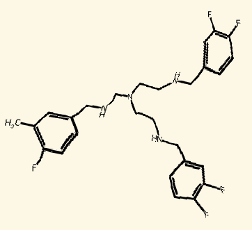 Cc1cc(CNCN(CCNCc2ccc(F)c(F)c2)CCNCc2ccc(F)c(F)c2)ccc1F